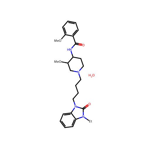 CCn1c(=O)n(CCCCN2CCC(NC(=O)c3ccccc3OC)C(OC)C2)c2ccccc21.O